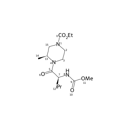 CCOC(=O)N1CCN(C(=O)[C@@H](NC(=O)OC)C(C)C)[C@@H](C)C1